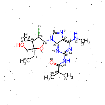 CC[C@@]1(CO)O[C@@H](n2cnc3c(NC)nc(NC(=O)C(C)C)nc32)[C@H](F)[C@@H]1C